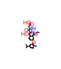 CCOc1nc(C(=O)NCC(=O)O)c(O)c2ccc(Oc3cc(C(C)C)ccc3C)cc12